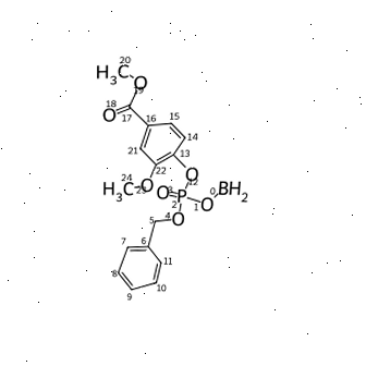 BOP(=O)(OCc1ccccc1)Oc1ccc(C(=O)OC)cc1OC